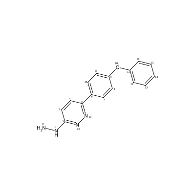 NNc1ccc(-c2ccc(Oc3ccccc3)cc2)nn1